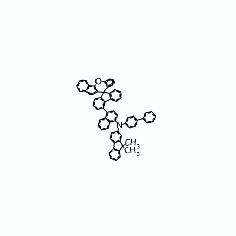 CC1(C)c2ccccc2-c2ccc(N(c3ccc(-c4ccccc4)cc3)c3ccc(-c4cccc5c4-c4ccccc4C54c5ccccc5Oc5c4ccc4ccccc54)c4ccccc34)cc21